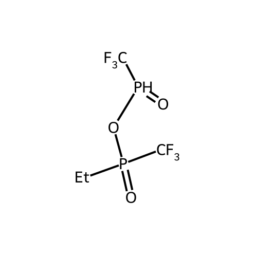 CCP(=O)(O[PH](=O)C(F)(F)F)C(F)(F)F